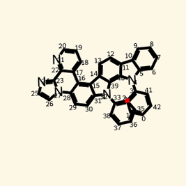 c1ccc(-n2c3ccccc3c3ccc4c5c6c7cccnc7c7nccn7c6ccc5n(-c5ccccc5)c4c32)cc1